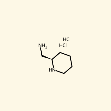 Cl.Cl.NC[C@H]1CCCCN1